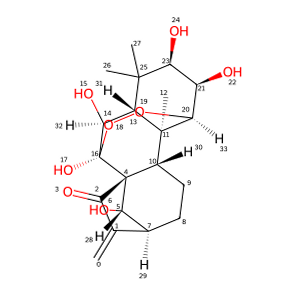 C=C1C(=O)[C@]23[C@@H](O)[C@H]1CC[C@H]2[C@@]1(C)[C@@H]2[C@H](O)[C@@]3(O)OO[C@H]1[C@H](O)[C@H](O)C2(C)C